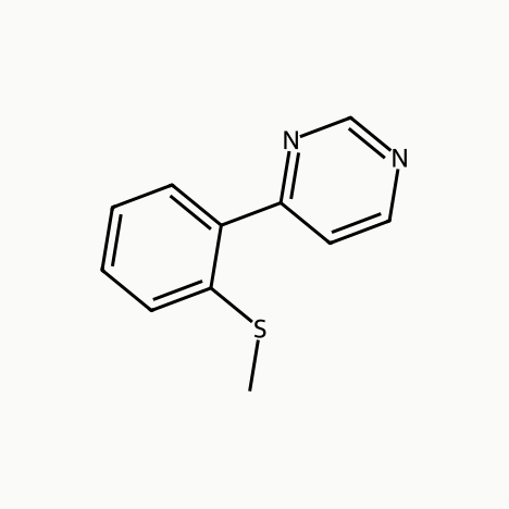 CSc1ccccc1-c1ccncn1